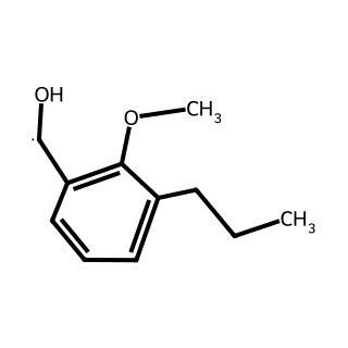 CCCc1cccc([CH]O)c1OC